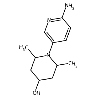 CC1CC(O)CC(C)N1c1ccc(N)nc1